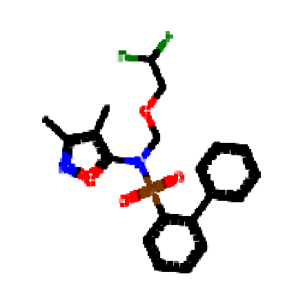 Cc1noc(N(COCC(F)F)S(=O)(=O)c2ccccc2-c2ccccc2)c1C